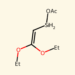 CCOC(=C[SiH2]OC(C)=O)OCC